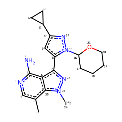 Cc1cnc(N)c2c(-c3cc(C4CC4)nn3C3CCCCO3)nn(C(C)C)c12